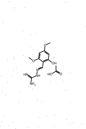 CC(=O)O.COc1cc(O)c(/C=N/NC(=N)N)c(OC)c1